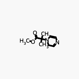 COC(=O)C(C)(C)N1C=CN=CC1